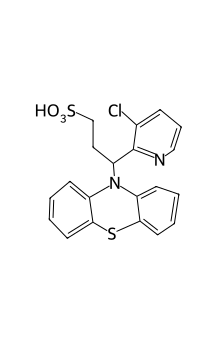 O=S(=O)(O)CCC(c1ncccc1Cl)N1c2ccccc2Sc2ccccc21